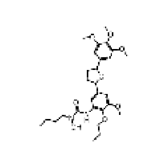 CCCCN(O)C(=O)Nc1cc(C2CCC(c3cc(OC)c(OC)c(OC)c3)O2)cc(OC)c1OCCC